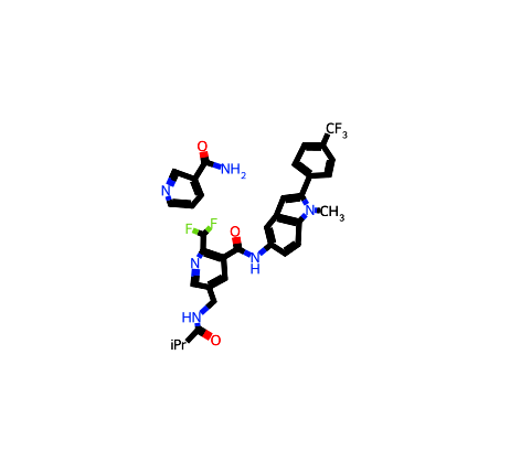 CC(C)C(=O)NCc1cnc(C(F)F)c(C(=O)Nc2ccc3c(c2)cc(-c2ccc(C(F)(F)F)cc2)n3C)c1.NC(=O)c1cccnc1